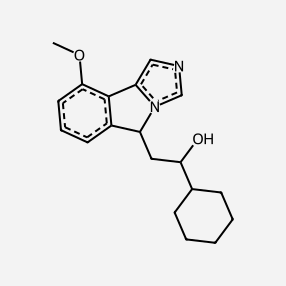 COc1cccc2c1-c1cncn1C2CC(O)C1CCCCC1